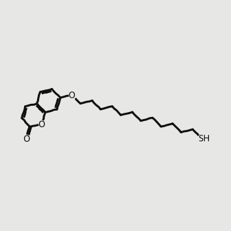 O=c1ccc2ccc(OCCCCCCCCCCCCS)cc2o1